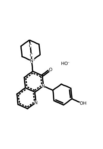 O=c1c([N+]23CCC(CC2)CC3)cc2cccnc2n1C1C=CC(O)=CC1.[OH-]